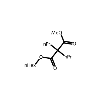 CCCCCCOC(=O)C(CCC)(CCC)C(=O)OC